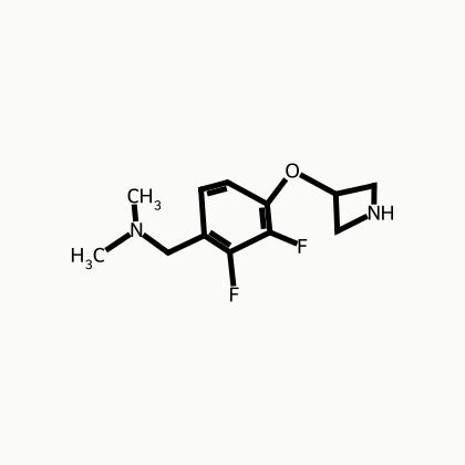 CN(C)Cc1ccc(OC2CNC2)c(F)c1F